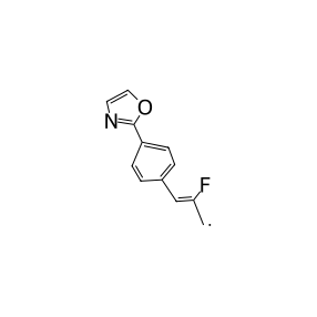 [CH2]/C(F)=C/c1ccc(-c2ncco2)cc1